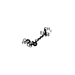 C=CCC(CC)(CC)NCCCCCCSc1cccc2c1CN(C1CCC(=O)NC1=O)C2=O